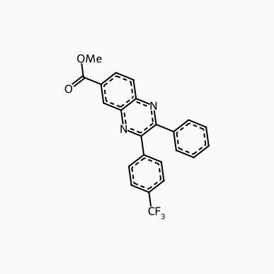 COC(=O)c1ccc2nc(-c3ccccc3)c(-c3ccc(C(F)(F)F)cc3)nc2c1